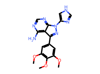 COc1cc(-c2nn(-c3c[nH]cn3)c3ncnc(N)c23)cc(OC)c1OC